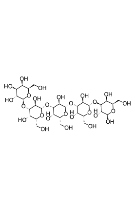 OC[C@H]1O[C@@H](O[C@H]2[C@@H](O)[C@@H](CO)O[C@@H](O[C@H]3[C@@H](O)[C@@H](CO)O[C@@H](O[C@H]4[C@@H](O)[C@@H](CO)O[C@@H](O[C@@H]5[C@@H](O)[C@H](O)O[C@H](CO)[C@@H]5O)[C@@H]4O)[C@@H]3O)[C@@H]2O)[C@H](O)[C@@H](O)[C@H]1O